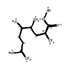 CC(CCC(O)C(F)(F)F)C(C)CC(C(=O)OC(C)(C)C)C(F)(F)F